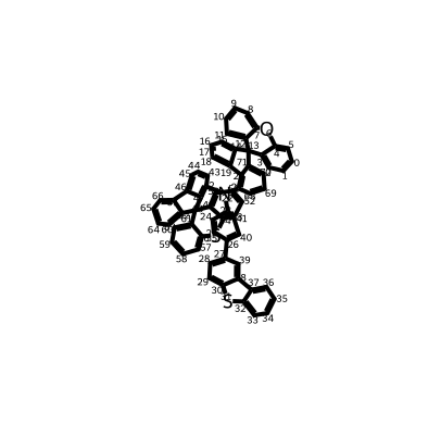 c1ccc2c(c1)Oc1ccccc1C21c2ccccc2-c2c(N(c3ccc(-c4ccc5sc6ccccc6c5c4)cc3)c3cccc4c3C3(c5ccccc5Sc5ccccc53)c3ccccc3-4)cccc21